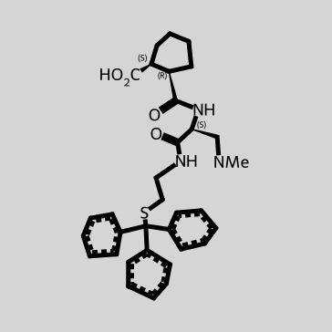 CNC[C@H](NC(=O)[C@@H]1CCCC[C@@H]1C(=O)O)C(=O)NCCSC(c1ccccc1)(c1ccccc1)c1ccccc1